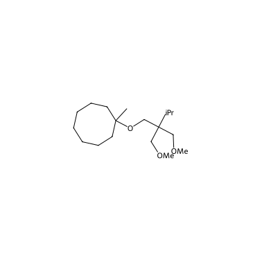 COCC(COC)(COC1(C)CCCCCCC1)C(C)C